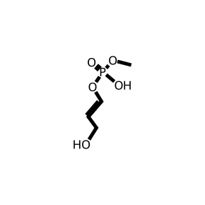 COP(=O)(O)O/C=C/CO